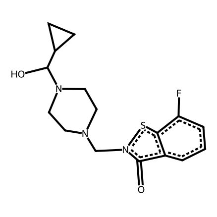 O=c1c2cccc(F)c2sn1CN1CCN(C(O)C2CC2)CC1